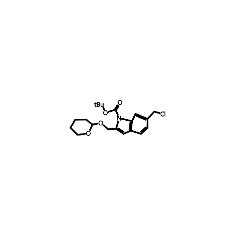 CC(C)(C)OC(=O)n1c(COC2CCCCO2)cc2ccc(CCl)cc21